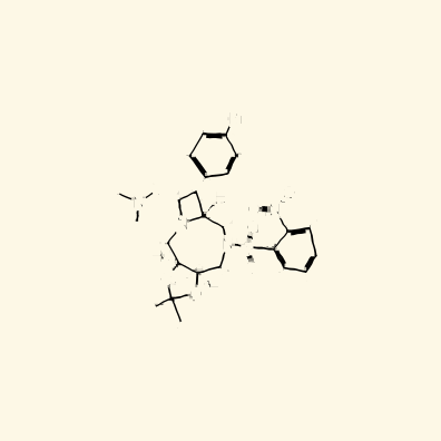 CN(C)C[C@@H]1[C@H](c2ccc(Br)cc2)[C@@H]2CN(S(=O)(=O)c3ccccc3[N+](=O)[O-])C[C@H]3OC(C)(C)O[C@H]3CN12